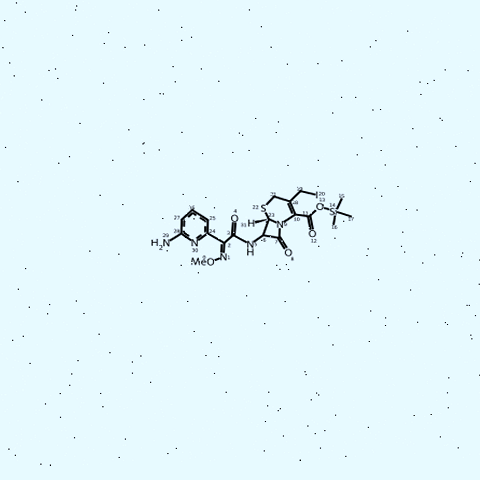 CON=C(C(=O)NC1C(=O)N2C(C(=O)O[Si](C)(C)C)=C(CI)CS[C@@H]12)c1cccc(N)n1